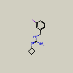 N/C(=N\C1CCC1)NCc1cccc(I)c1